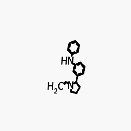 C=CN1CCCC1c1cccc(Nc2ccccc2)c1